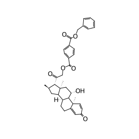 C[C@@H]1CC2[C@@H]3CCC4=CC(=O)C=C[C@]4(C)C3[C@@H](O)C[C@]2(C)[C@H]1C(=O)COC(=O)c1ccc(C(=O)OCc2ccccc2)cc1